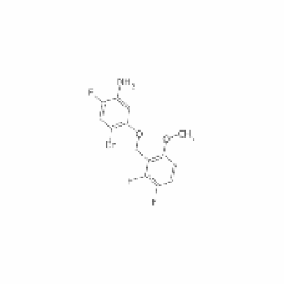 COc1ccc(F)c(F)c1COc1cc(N)c(F)cc1Br